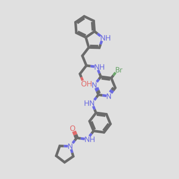 O=C(Nc1cccc(Nc2ncc(Br)c(NC(CO)Cc3c[nH]c4ccccc34)n2)c1)N1CCCC1